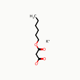 CCCCCCOC(=O)CC(=O)[O-].[K+]